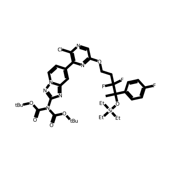 CC[Si](CC)(CC)OC(C)(c1ccc(F)cc1)C(F)(F)CCOc1cnc(Cl)c(-c2ccn3nc(N(C(=O)OC(C)(C)C)C(=O)OC(C)(C)C)nc3c2)n1